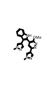 COc1nnc(-c2cnn(C)c2)cc1-c1[nH]c2ccccc2c1-c1cnn(C)c1